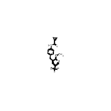 COc1ncc(C(F)(F)F)cc1Cc1ccc(NC(=O)C2CC2)cc1